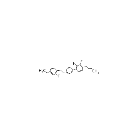 CCCCc1ccc(-c2ccc(CCc3ccc(CC)cc3F)cc2)c(F)c1F